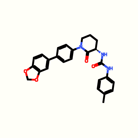 Cc1ccc(NC(=O)N[C@H]2CCCN(c3ccc(-c4ccc5c(c4)OCO5)cc3)C2=O)cc1